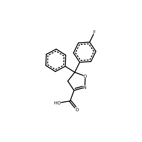 O=C(O)C1=NOC(c2ccccc2)(c2ccc(F)cc2)C1